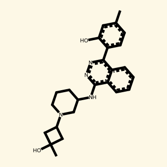 Cc1ccc(-c2nnc(NC3CCCN(C4CC(C)(O)C4)C3)c3ccccc23)c(O)c1